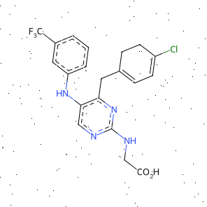 O=C(O)CNc1ncc(Nc2cccc(C(F)(F)F)c2)c(CC2=CC=C(Cl)CC2)n1